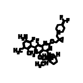 Cc1cc(N)c(F)c(-c2nc3c4c(nc(OCC5(CN6CCC(=C(F)F)CC6)CC5)nc4c2F)N2C[C@H]4CC[C@H](N4)[C@H]2[C@H](C)O3)c1C(F)(F)F